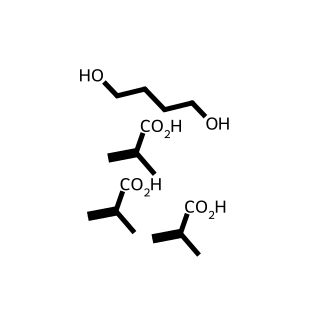 C=C(C)C(=O)O.C=C(C)C(=O)O.C=C(C)C(=O)O.OCCCCO